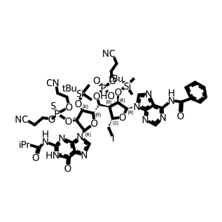 CC(C)C(=O)Nc1nc2c(ncn2[C@@H]2O[C@@H](C(OP(=O)(O)OCCC#N)[C@H]3[C@@H](O[Si](C)(C)C(C)(C)C)[C@H](n4cnc5c(NC(=O)c6ccccc6)ncnc54)O[C@@H]3CI)[C@@H](O[Si](C)(C)C(C)(C)C)[C@H]2OP(=S)(OCCC#N)OCCC#N)c(=O)[nH]1